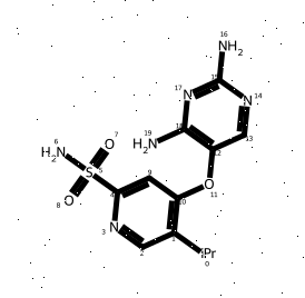 CC(C)c1cnc(S(N)(=O)=O)cc1Oc1cnc(N)nc1N